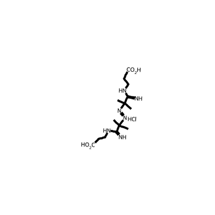 CC(C)(N=NC(C)(C)C(=N)NCCC(=O)O)C(=N)NCCC(=O)O.Cl